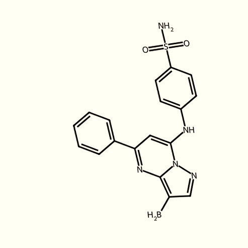 Bc1cnn2c(Nc3ccc(S(N)(=O)=O)cc3)cc(-c3ccccc3)nc12